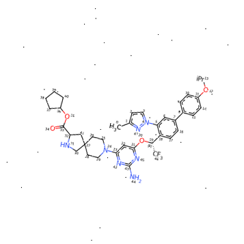 Cc1ccn(-c2cc(-c3ccc(OC(C)C)cc3)ccc2[C@@H](Oc2cc(N3CCC4(CC3)CNC(C(=O)OC3CCCC3)C4)nc(N)n2)C(F)(F)F)n1